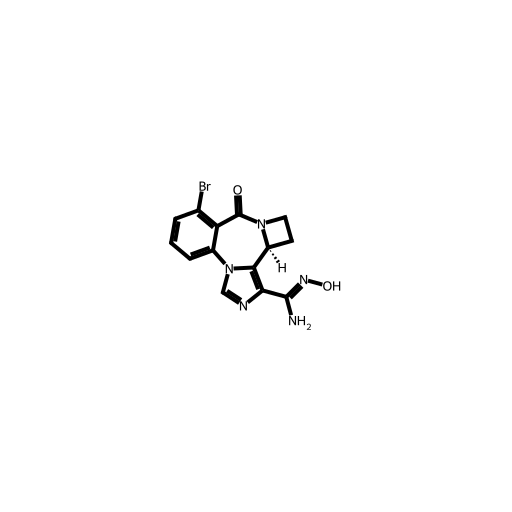 NC(=NO)c1ncn2c1[C@@H]1CCN1C(=O)c1c(Br)cccc1-2